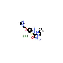 Cl.NC(=O)C(=C1Nc2ccc(OCCn3ccnc3)cc2S1)c1nccc(C(F)(F)F)n1